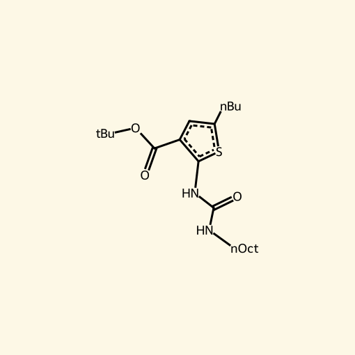 CCCCCCCCNC(=O)Nc1sc(CCCC)cc1C(=O)OC(C)(C)C